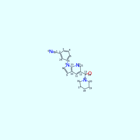 N#Cc1cccc(-n2ccc3cc(C(=O)N4CCCCC4)cnc32)c1